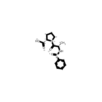 C[C@H](N[PH](=O)c1ccccc1)C(=O)N1CCC[C@H]1C(=O)O